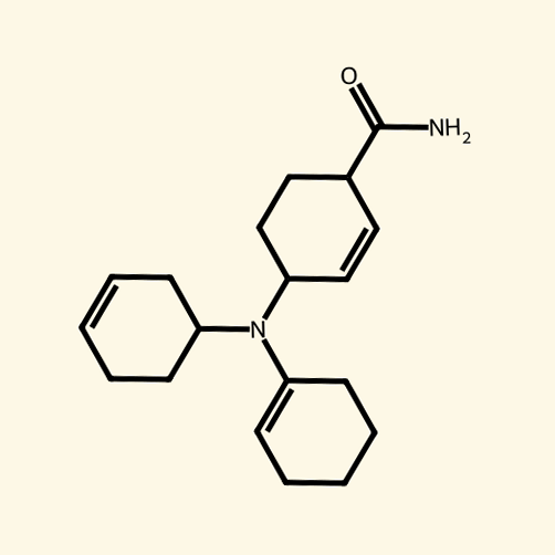 NC(=O)C1C=CC(N(C2=CCCCC2)C2CC=CCC2)CC1